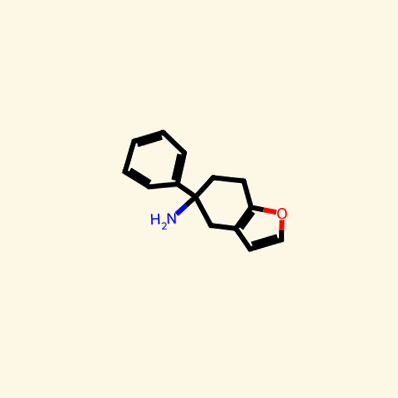 NC1(c2ccccc2)CCc2occc2C1